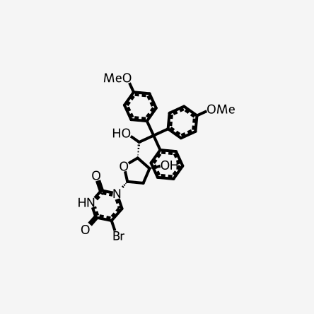 COc1ccc(C(c2ccccc2)(c2ccc(OC)cc2)C(O)[C@H]2O[C@@H](n3cc(Br)c(=O)[nH]c3=O)C[C@@H]2O)cc1